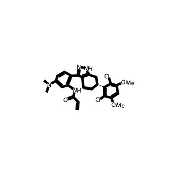 C=CC(=O)Nc1cc(N(C)C)ccc1-c1n[nH]c2c1CC[C@@H](c1c(Cl)c(OC)cc(OC)c1Cl)C2